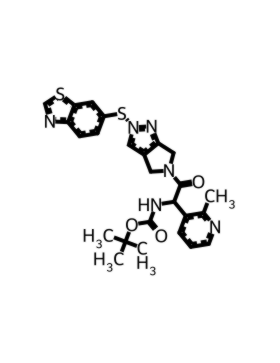 Cc1ncccc1C(NC(=O)OC(C)(C)C)C(=O)N1Cc2cn(Sc3ccc4ncsc4c3)nc2C1